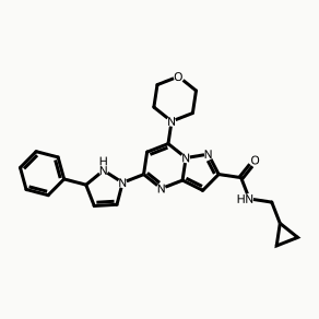 O=C(NCC1CC1)c1cc2nc(N3C=CC(c4ccccc4)N3)cc(N3CCOCC3)n2n1